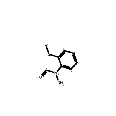 CSc1ccccc1N(N)C=O